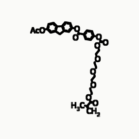 C=C(C)C(=O)OCCOCCOCCOCCOC(=O)Oc1ccc(C(=O)Oc2ccc3c(c2)Cc2cc(OC(C)=O)ccc2-3)cc1